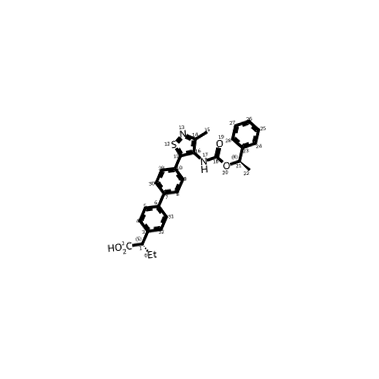 CC[C@H](C(=O)O)c1ccc(-c2ccc(-c3snc(C)c3NC(=O)O[C@H](C)c3ccccc3)cc2)cc1